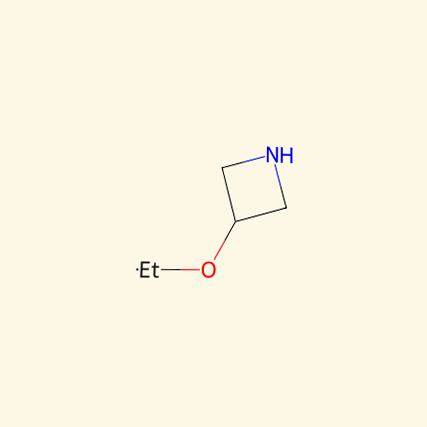 C[CH]OC1CNC1